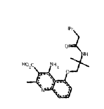 Cc1nc2cccc(OCC(C)(C)NC(=O)CC(C)C)c2c(N)c1C(=O)O